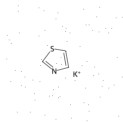 [K+].c1cscn1